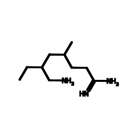 CCC(CN)CC(C)CCC(=N)N